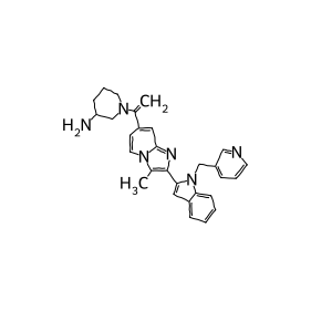 C=C(c1ccn2c(C)c(-c3cc4ccccc4n3Cc3cccnc3)nc2c1)N1CCCC(N)C1